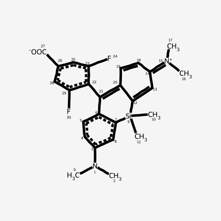 CN(C)c1ccc2c(c1)[Si](C)(C)C1=CC(=[N+](C)C)C=CC1=C2c1c(F)cc(C(=O)[O-])cc1F